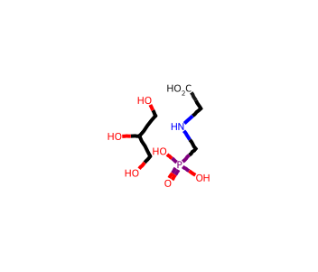 O=C(O)CNCP(=O)(O)O.OCC(O)CO